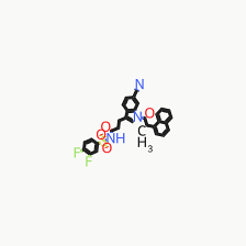 CC(C(=O)n1cc(CCC(=O)NS(=O)(=O)c2ccc(F)c(F)c2)c2ccc(C#N)cc21)c1cccc2ccccc12